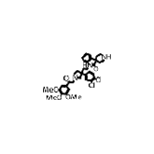 COc1cc(C(=O)CN2CCC(CCNC(=O)C3(c4ccccc4)CCNCC3)(c3ccc(Cl)c(Cl)c3)C2)cc(OC)c1OC